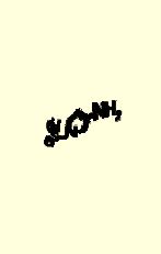 N[C@@H]1CCN(C[SH](=O)=O)C1